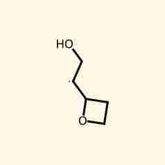 OC[CH]C1CCO1